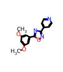 COc1cc(OC)cc(-c2nc(-c3ccncc3)no2)c1